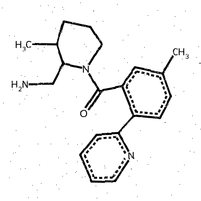 Cc1ccc(-c2ccccn2)c(C(=O)N2CCCC(C)C2CN)c1